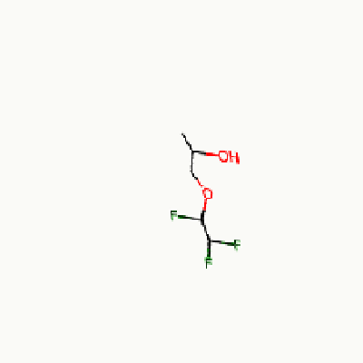 CC(O)COC(F)C(F)F